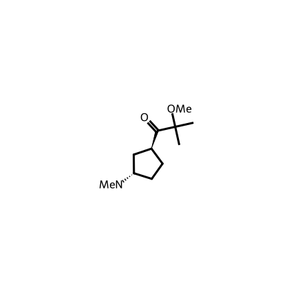 CN[C@H]1CC[C@H](C(=O)C(C)(C)OC)C1